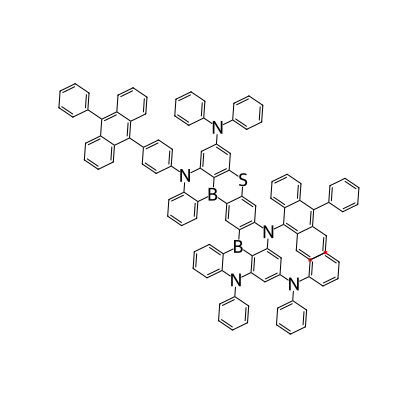 c1ccc(-c2c3ccccc3c(-c3ccc(N4c5ccccc5B5c6cc7c(cc6Sc6cc(N(c8ccccc8)c8ccccc8)cc4c65)N(c4c5ccccc5c(-c5ccccc5)c5ccccc45)c4cc(N(c5ccccc5)c5ccccc5)cc5c4B7c4ccccc4N5c4ccccc4)cc3)c3ccccc23)cc1